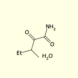 CCC(C)C(=O)C(N)=O.O